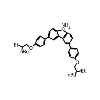 CCCCC(CC)COc1ccc(-c2ccc3c(c2)c2cc(-c4ccc(OCC(CC)CCCC)cc4)ccc2n3N)cc1